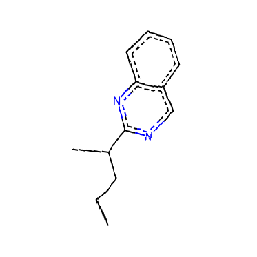 CCCC(C)c1ncc2ccccc2n1